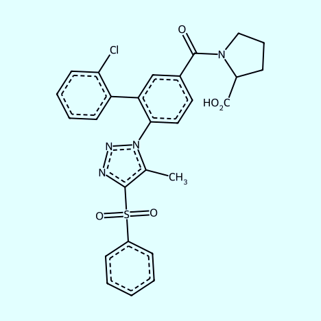 Cc1c(S(=O)(=O)c2ccccc2)nnn1-c1ccc(C(=O)N2CCCC2C(=O)O)cc1-c1ccccc1Cl